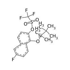 CC(C)(C)[Si](C)(C)Oc1c(OS(=O)(=O)C(F)(F)F)ccc2cc(F)ccc12